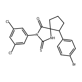 O=C1N(c2cc(Cl)cc(Cl)c2)C(=S)NC12CCCC2c1ccc(Br)cc1